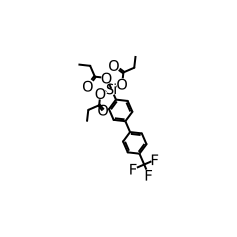 CCC(=O)O[Si](OC(=O)CC)(OC(=O)CC)c1ccc(-c2ccc(C(F)(F)F)cc2)cc1